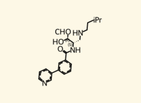 CC(C)CCNC[C@H](NC(=O)c1cccc(-c2cccnc2)c1)[C@@H](O)C=O